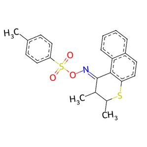 Cc1ccc(S(=O)(=O)O/N=C2/c3c(ccc4ccccc34)SC(C)C2C)cc1